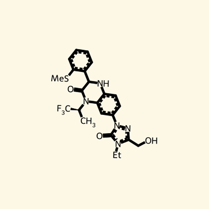 CCn1c(CO)nn(-c2ccc3c(c2)N([C@@H](C)C(F)(F)F)C(=O)C(c2ccccc2SC)N3)c1=O